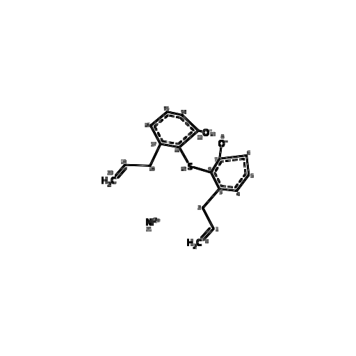 C=CCc1cccc([O-])c1Sc1c([O-])cccc1CC=C.[Ni+2]